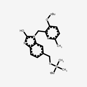 CCCCOc1ccc(C)nc1Cn1c(O)nc2ccc(CO[Si](C)(C)C(C)(C)C)cc21